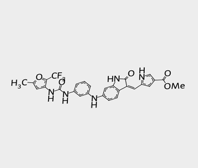 COC(=O)c1c[nH]c(C=C2C(=O)Nc3cc(Nc4cccc(NC(=O)Nc5cc(C)oc5C(F)(F)F)c4)ccc32)c1